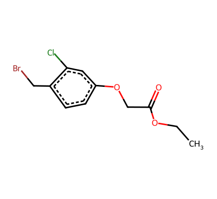 CCOC(=O)COc1ccc(CBr)c(Cl)c1